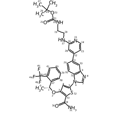 C[C@@H](Oc1cc(-n2cnc3cc(-c4ccnc(NCCNC(=O)OC(C)(C)C)c4)ccc32)sc1C(N)=O)c1ccccc1C(F)(F)F